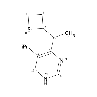 CC(C)C1=C(C(C)C2CCS2)N=CNC1